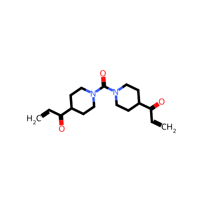 C=CC(=O)C1CCN(C(=O)N2CCC(C(=O)C=C)CC2)CC1